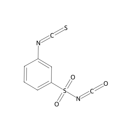 O=C=NS(=O)(=O)c1cccc(N=C=S)c1